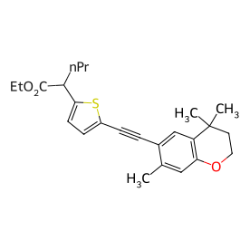 CCCC(C(=O)OCC)c1ccc(C#Cc2cc3c(cc2C)OCCC3(C)C)s1